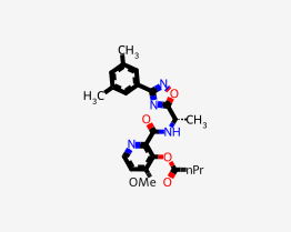 CCCC(=O)Oc1c(OC)ccnc1C(=O)N[C@@H](C)c1nc(-c2cc(C)cc(C)c2)no1